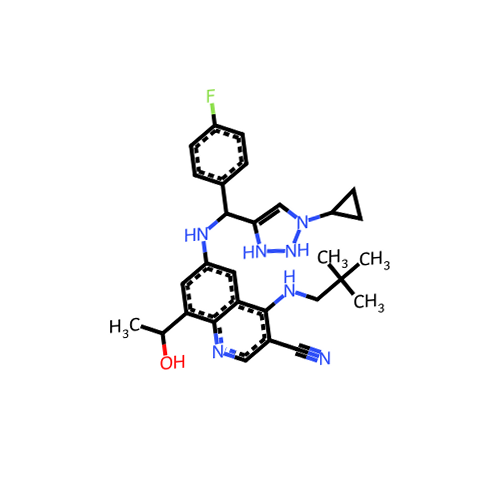 CC(O)c1cc(NC(C2=CN(C3CC3)NN2)c2ccc(F)cc2)cc2c(NCC(C)(C)C)c(C#N)cnc12